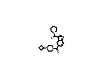 O=C(c1ccc2scc(C(=O)N3CCCCC3)c2c1)N1CCN(C2CCC2)CC1